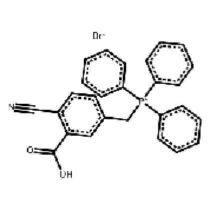 N#Cc1ccc(C[P+](c2ccccc2)(c2ccccc2)c2ccccc2)cc1C(=O)O.[Br-]